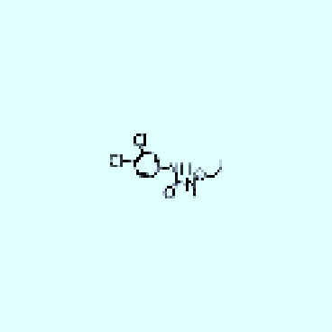 CN(OCI)C(=O)Nc1ccc(Cl)c(Cl)c1